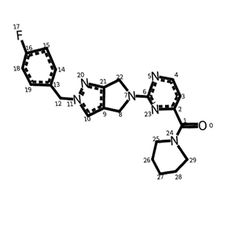 O=C(c1ccnc(N2Cc3cn(Cc4ccc(F)cc4)nc3C2)n1)N1CCCCC1